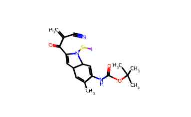 C=C(C#N)C(=O)C1=CC2C=C(C)C(NC(=O)OC(C)(C)C)=CC2N1SI